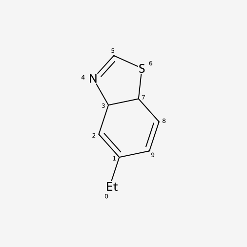 CCC1=CC2N=CSC2C=C1